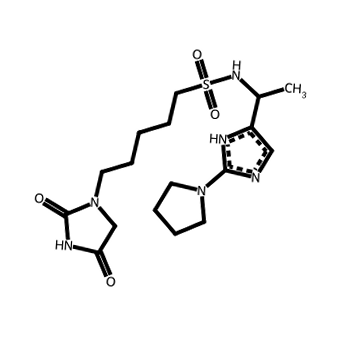 CC(NS(=O)(=O)CCCCCN1CC(=O)NC1=O)c1cnc(N2CCCC2)[nH]1